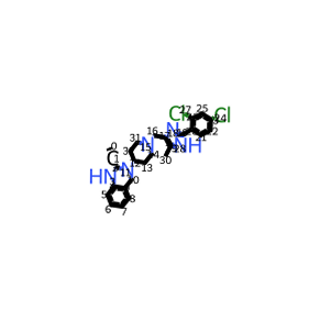 C=C=C1Nc2ccccc2CN1C1CCN(Cc2nc(-c3ccc(Cl)cc3Cl)[nH]c2C)CC1